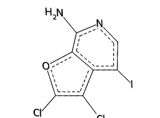 Nc1ncc(I)c2c(Cl)c(Cl)oc12